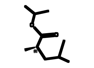 CC(C)C[C@H](C)C(=O)OC(C)C